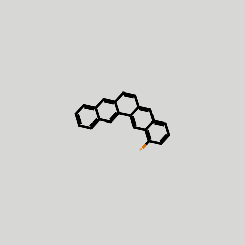 [P]c1cccc2cc3ccc4cc5ccccc5cc4c3cc12